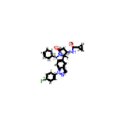 CC1(c2ccc3c(cnn3-c3ccc(F)cc3)c2)C(NC(=O)C2CC2)CC(=O)N1Cc1ccccc1